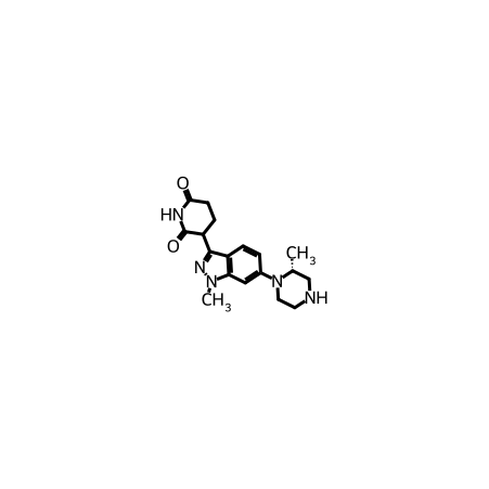 C[C@@H]1CNCCN1c1ccc2c(C3CCC(=O)NC3=O)nn(C)c2c1